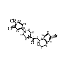 O=C(CC1OCCc2cc(Br)ccc21)N1CCN(c2ccc(Cl)c(Cl)c2)CC1